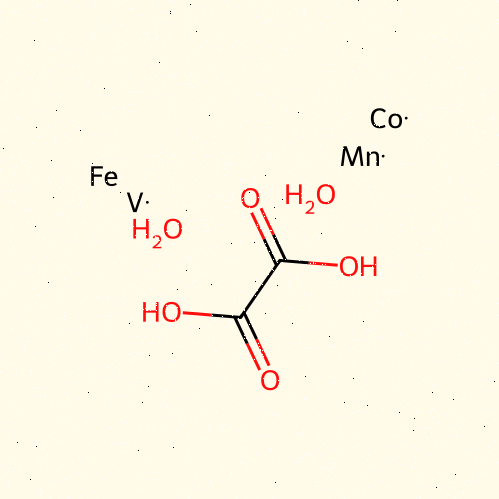 O.O.O=C(O)C(=O)O.[Co].[Fe].[Mn].[V]